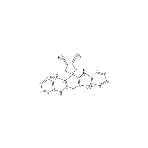 C=CCC1(CC=C)C(Nc2ccccc2)=C(C(=O)O)CC(Nc2ccccc2)=C1C(=O)O